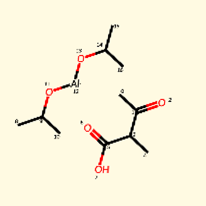 CC(=O)C(C)C(=O)O.CC(C)[O][Al][O]C(C)C